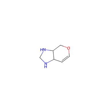 C1=CC2NCNC2CO1